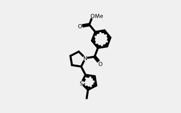 COC(=O)c1cccc(C(=O)N2CCCC2c2ccc(C)s2)c1